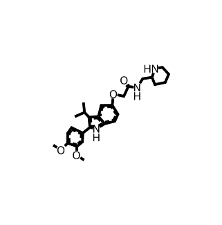 COc1ccc(-c2[nH]c3ccc(OCC(=O)NCC4CCCCN4)cc3c2C(C)C)cc1OC